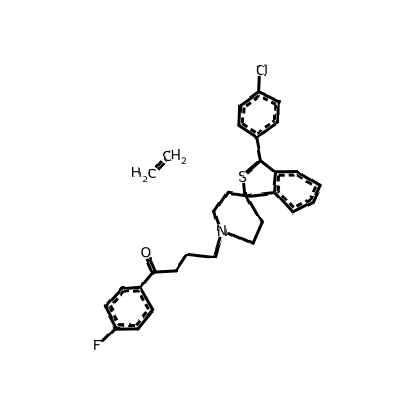 C=C.O=C(CCCN1CCC2(CC1)SC(c1ccc(Cl)cc1)c1ccccc12)c1ccc(F)cc1